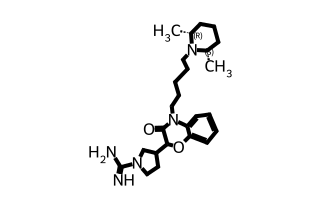 C[C@@H]1CCC[C@H](C)N1CCCCCN1C(=O)C(C2CCN(C(=N)N)C2)Oc2ccccc21